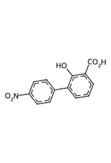 O=C(O)c1cccc(-c2ccc([N+](=O)[O-])cc2)c1O